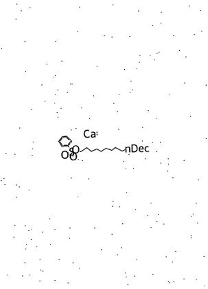 CCCCCCCCCCCCCCCCCCCOS(=O)(=O)c1ccccc1.[Ca]